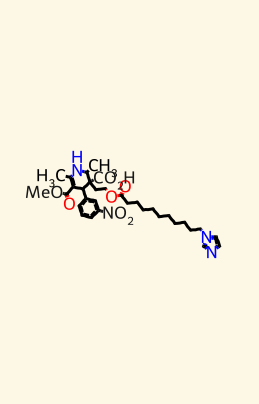 COC(=O)C1=C(C)NC(C)C(CCOC(=O)CCCCCCCCCCn2ccnc2)(C(=O)O)C1c1cccc([N+](=O)[O-])c1